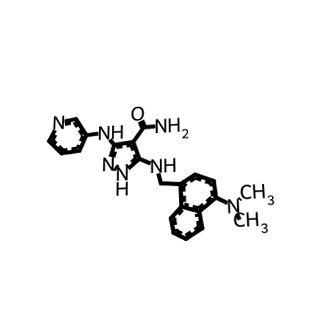 CN(C)c1ccc(CNc2[nH]nc(Nc3cccnc3)c2C(N)=O)c2ccccc12